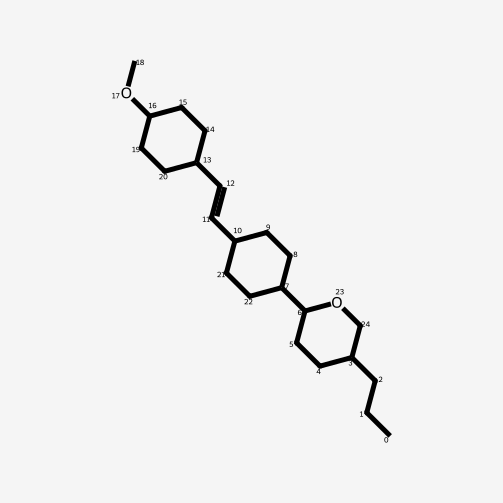 CCCC1CCC(C2CCC(/C=C/C3CCC(OC)CC3)CC2)OC1